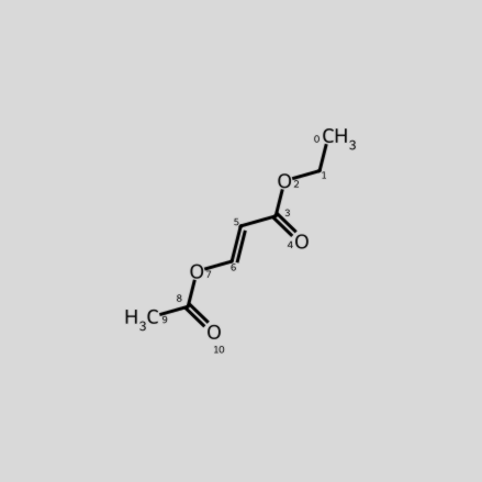 CCOC(=O)C=COC(C)=O